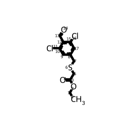 CCOC(=O)CSCc1cc(Cl)c(C=O)c(Cl)c1